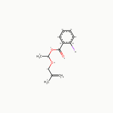 C=C(C)COC(C)OC(=O)c1ccccc1I